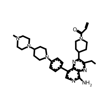 C=CC(=O)N1CCC(c2nc3c(-c4ccc(N5CCC(N6CCN(C)CC6)CC5)cc4)cnc(N)c3nc2CC)CC1